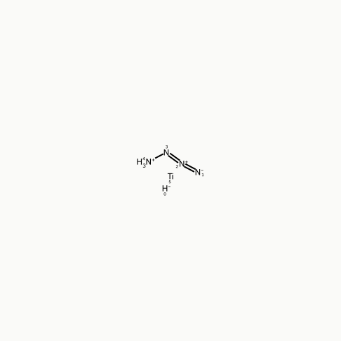 [H-].[N-]=[N+]=N[NH3+].[Ti]